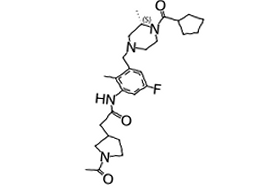 CC(=O)N1CCC(CC(=O)Nc2cc(F)cc(CN3CCN(C(=O)C4CCCC4)[C@@H](C)C3)c2C)C1